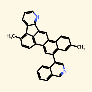 Cc1ccc2c(c1)c(-c1cncc3ccccc13)cc1c3ccc(C)c4c3c(cc21)-c1ncccc1-4